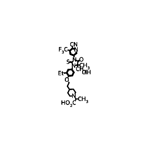 CCc1cc(N2C(=S)N(c3cnc(C#N)c(C(F)(F)F)c3)C(=O)C2(C)C)ccc1OCCC1CCN(C(C)C(=O)O)CC1.Cl